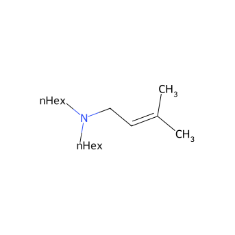 CCCCCCN(CC=C(C)C)CCCCCC